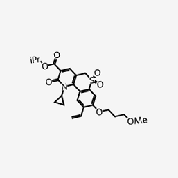 C=Cc1cc2c(cc1OCCCOC)S(=O)(=O)Cc1cc(C(=O)OC(C)C)c(=O)n(C3CC3)c1-2